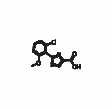 COc1cccc(Cl)c1-c1nc(C(=O)O)cs1